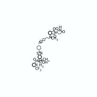 CN(CCC1CC2(C1)CN(C[C@H]1CC[C@H](c3nc4cc(C(C)(C)O)c(NC(=O)c5cccc(C(F)(F)F)n5)cc4s3)CC1)C2)c1cccc2c1C(=O)N(C1CCC(=O)NC1=O)C2=O